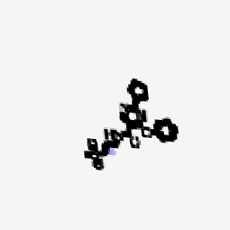 CS(=O)(=O)/C=C/CNC(=O)c1cnc(C2CCCC2)nc1Oc1ccccc1